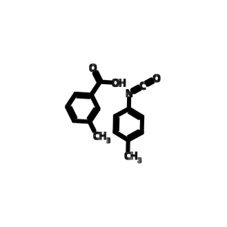 Cc1ccc(N=C=O)cc1.Cc1cccc(C(=O)O)c1